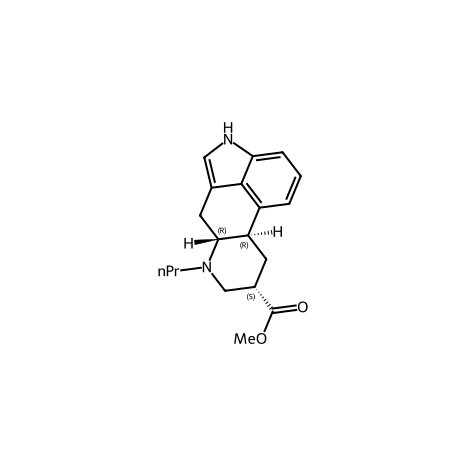 CCCN1C[C@@H](C(=O)OC)C[C@@H]2c3cccc4[nH]cc(c34)C[C@H]21